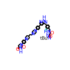 CC(C)(C)c1noc(C(=O)NCc2ccc(-c3n[nH]c4ncc(-c5ccc(N6CCN(CCC7CCN(c8ccc(N9CCC(=O)NC9=O)cc8)CC7)CC6)cc5)cc34)cc2F)n1